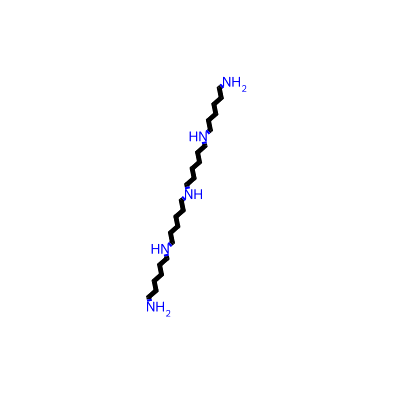 NCCCCCCNCCCCCCNCCCCCCNCCCCCCN